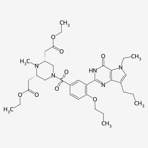 CCCOc1ccc(S(=O)(=O)N2C[C@@H](CC(=O)OCC)N(C)[C@@H](CC(=O)OCC)C2)cc1-c1nc2c(CCC)cn(CC)c2c(=O)[nH]1